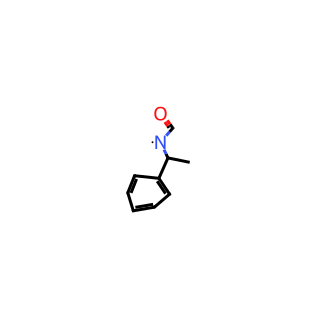 CC([N]C=O)c1ccccc1